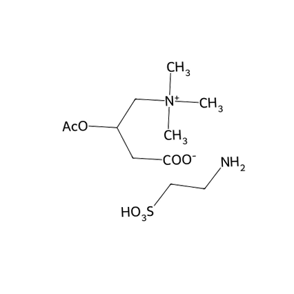 CC(=O)OC(CC(=O)[O-])C[N+](C)(C)C.NCCS(=O)(=O)O